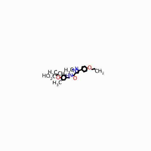 C=CCOc1ccc(-c2cc(C(=O)NCc3ccc(OC(C)(C)C(=O)O)c(C)c3)n(C)n2)cc1